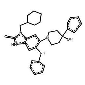 O=c1[nH]c2cc(Nc3ccccc3)c(N3CCC(O)(c4ccccc4)CC3)cc2n1CC1CCCCC1